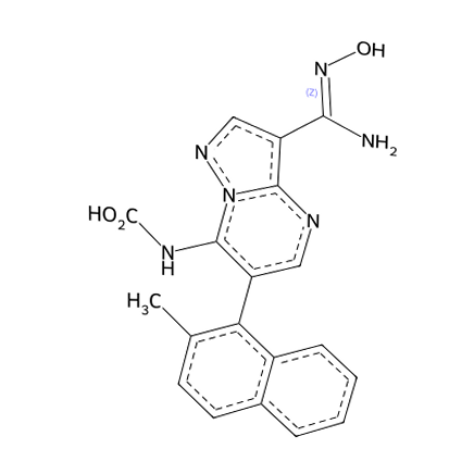 Cc1ccc2ccccc2c1-c1cnc2c(/C(N)=N/O)cnn2c1NC(=O)O